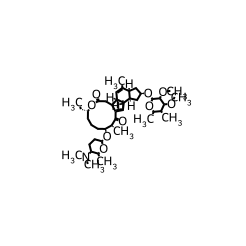 CC[C@H]1CCC[C@H](OC2CCC(N(C)C)C(C)O2)[C@@H](C)C(=O)C2=C[C@@H]3[C@@H](C=C(C)[C@@H]4C[C@@H](OC5OC(C)C(C)C(OC)C5OC)C[C@@H]34)[C@@H]2CC(=O)O1